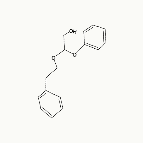 OCC(OCCc1ccccc1)Oc1ccccc1